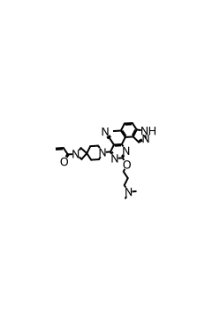 C=CC(=O)N1CC2(CCN(c3nc(OCCCN(C)C)nc(-c4c(C)ccc5[nH]ncc45)c3C#N)CC2)C1